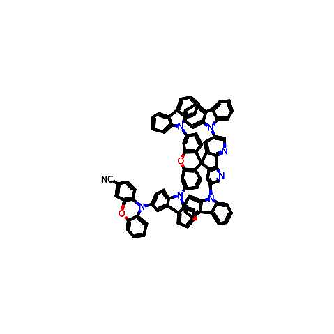 N#Cc1ccc2c(c1)Oc1ccccc1N2c1ccc2c(c1)c1ccccc1n2-c1ccc2c(c1)Oc1cc(-n3c4ccccc4c4ccccc43)ccc1C21c2cc(-n3c4ccccc4c4ccccc43)cnc2-c2ncc(-n3c4ccccc4c4ccccc43)cc21